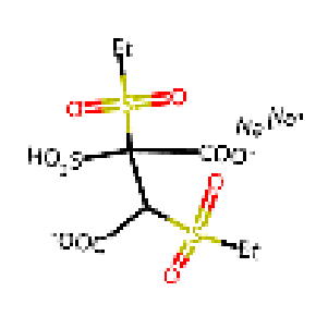 CCS(=O)(=O)C(C(=O)[O-])C(C(=O)[O-])(S(=O)(=O)O)S(=O)(=O)CC.[Na+].[Na+]